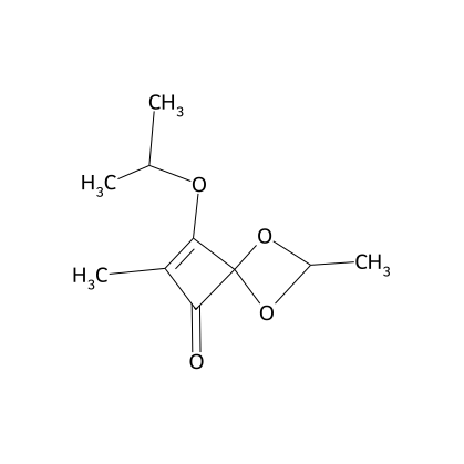 CC1=C(OC(C)C)C2(OC(C)O2)C1=O